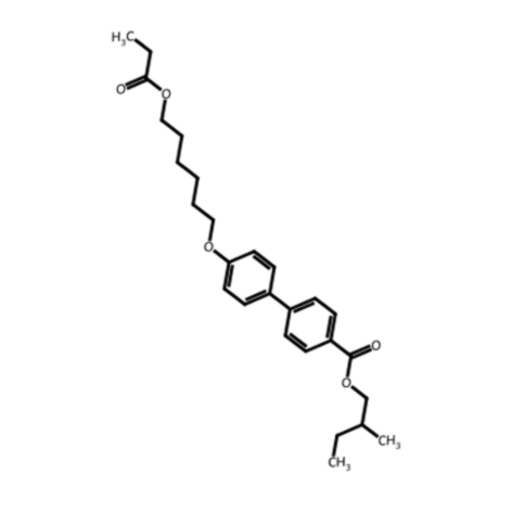 CCC(=O)OCCCCCCOc1ccc(-c2ccc(C(=O)OCC(C)CC)cc2)cc1